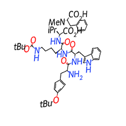 CC(C)[C@H](NC(=O)[C@H](CCCCNC(=O)OC(C)(C)C)NC(=O)[C@@H](Cc1c[nH]c2ccccc12)NC(=O)[C@@H](N)Cc1ccc(OC(C)(C)C)cc1)C(=O)O.CN[C@@H](Cc1ccccc1)C(=O)O